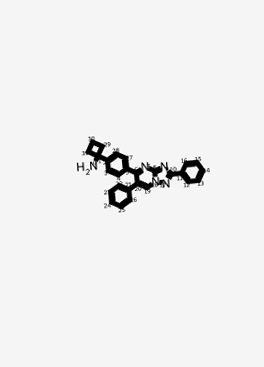 NC1(c2ccc(-c3nc4nc(-c5ccccc5)nn4cc3-c3ccccc3)cc2)CCC1